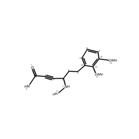 CCCNC(C#CC([NH])=O)CCc1cccc(OC)c1OC